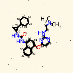 CN(C)CCNc1nccc(Oc2ccc(NC(=O)NC3CC3C3CCCCC3)c3ccccc23)n1